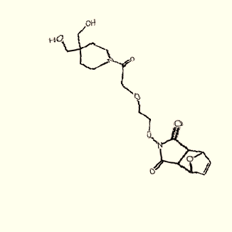 O=C(COCCON1C(=O)C2C3C=CC(O3)C2C1=O)N1CCC(CO)(CO)CC1